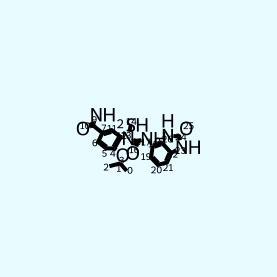 CC(C)Oc1ccc(C(N)=O)cc1N(S)C(=O)Nc1cccc2[nH]c(=O)[nH]c12